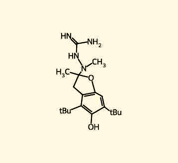 CN(NC(=N)N)C1(C)Cc2c(cc(C(C)(C)C)c(O)c2C(C)(C)C)O1